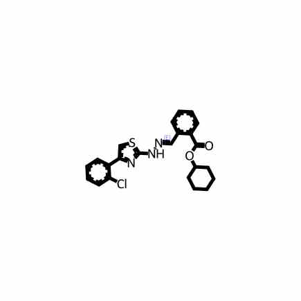 O=C(OC1CCCCC1)c1ccccc1/C=N/Nc1nc(-c2ccccc2Cl)cs1